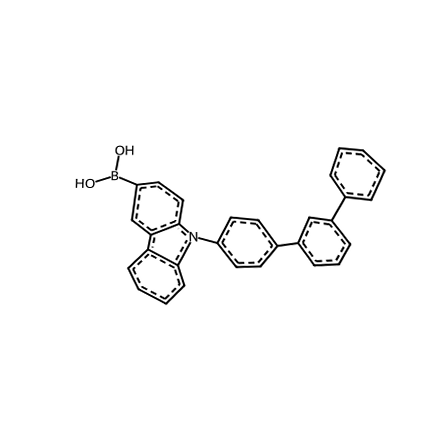 OB(O)c1ccc2c(c1)c1ccccc1n2-c1ccc(-c2cccc(-c3ccccc3)c2)cc1